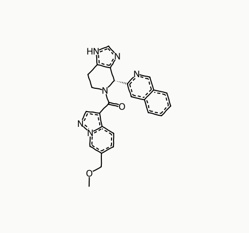 COCc1ccc2c(C(=O)N3CCc4[nH]cnc4[C@@H]3c3cc4ccccc4cn3)cnn2c1